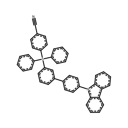 N#Cc1ccc(S(c2ccccc2)(c2ccccc2)c2cccc(-c3ccc(-n4c5ccccc5c5ccccc54)cc3)c2)cc1